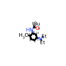 CCN(CC)c1ccc(C)c(NC(=O)C(C)(C)C)c1